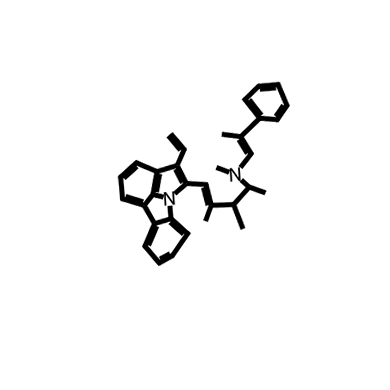 C=Cc1c(/C=C(\C)C(C)C(C)N(C)/C=C(\C)c2ccccc2)n2c3ccccc3c3cccc1c32